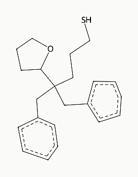 SCCCC(Cc1ccccc1)(Cc1ccccc1)C1CCCO1